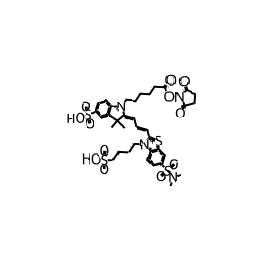 CN(C)S(=O)(=O)c1ccc2c(c1)sc(/C=C/C=C1/N(CCCCCC(=O)ON3C(=O)CCC3=O)c3ccc(S(=O)(=O)O)cc3C1(C)C)[n+]2CCCCS(=O)(=O)O